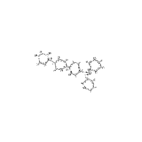 c1cc[c]([Sb]([c]2ccccc2)[c]2ccccc2)cc1.c1ccc(-c2ccccc2)cc1